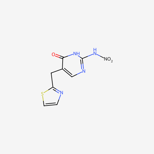 O=c1[nH]c(N[N+](=O)[O-])ncc1Cc1nccs1